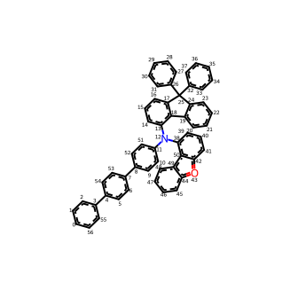 c1ccc(-c2ccc(-c3ccc(N(c4cccc5c4-c4ccccc4C5(c4ccccc4)c4ccccc4)c4cccc5oc6ccccc6c45)cc3)cc2)cc1